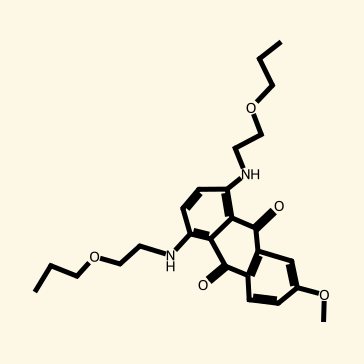 CCCOCCNc1ccc(NCCOCCC)c2c1C(=O)c1ccc(OC)cc1C2=O